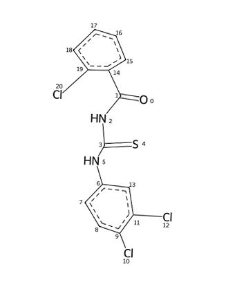 O=C(NC(=S)Nc1ccc(Cl)c(Cl)c1)c1ccccc1Cl